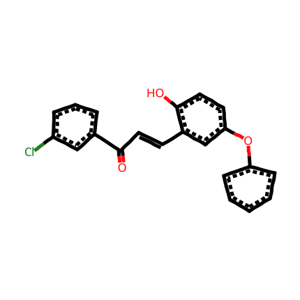 O=C(C=Cc1cc(Oc2ccccc2)ccc1O)c1cccc(Cl)c1